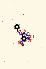 CN1C(=O)C(=NOCc2ccccc2)c2cc([N+](=O)[O-])cc([N+](=O)[O-])c21